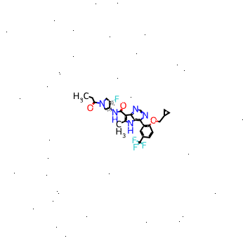 CCC(=O)N1C[C@H](NC(=O)c2c(C)[nH]c3c(-c4cc(C(F)(F)F)ccc4OCC4CC4)ncnc23)[C@@H](F)C1